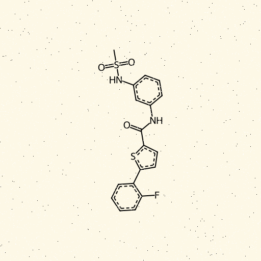 CS(=O)(=O)Nc1cccc(NC(=O)c2ccc(-c3ccccc3F)s2)c1